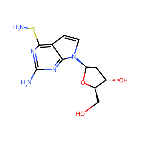 NSc1nc(N)nc2c1ccn2[C@H]1C[C@H](O)[C@@H](CO)O1